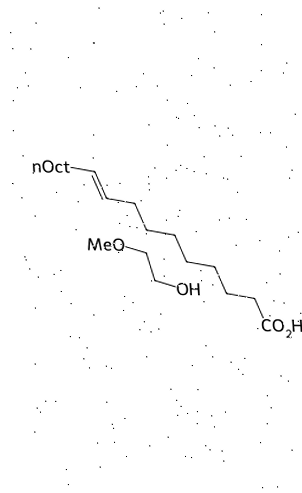 CCCCCCCCC=CCCCCCCCC(=O)O.COCCO